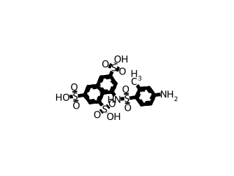 Cc1cc(N)ccc1S(=O)(=O)Nc1cc(S(=O)(=O)O)cc2cc(S(=O)(=O)O)cc(S(=O)(=O)O)c12